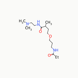 CCC(=O)NCCCOCCC(C)C(=O)NCCN(C)C